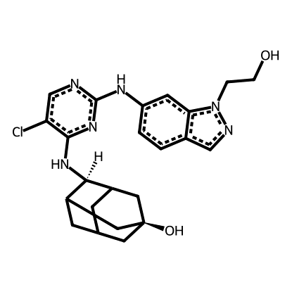 OCCn1ncc2ccc(Nc3ncc(Cl)c(N[C@H]4C5CC6CC4C[C@@](O)(C6)C5)n3)cc21